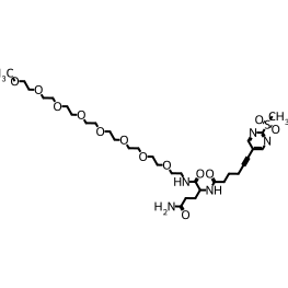 COCCOCCOCCOCCOCCOCCOCCOCCNC(=O)C(CCC(N)=O)NC(=O)CCCC#Cc1cnc(S(C)(=O)=O)nc1